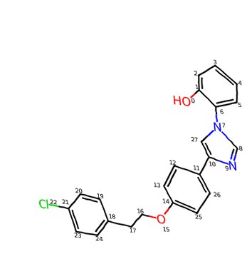 Oc1ccccc1-n1cnc(-c2ccc(OCCc3ccc(Cl)cc3)cc2)c1